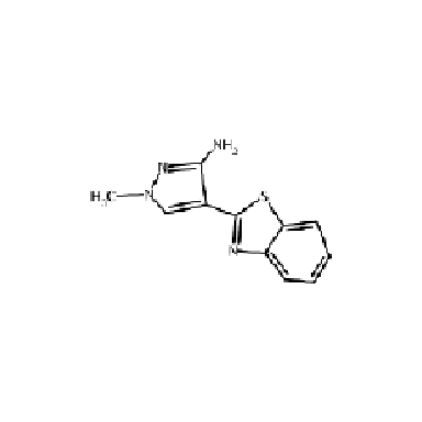 Cn1cc(-c2nc3ccccc3s2)c(N)n1